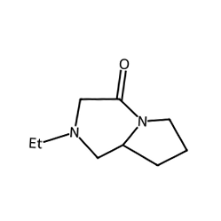 CCN1CC(=O)N2CCCC2C1